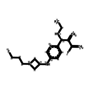 C=C(F)C(=C)[C@H](NCC(F)(F)F)c1ccc(NC2CN(CCCF)C2)cn1